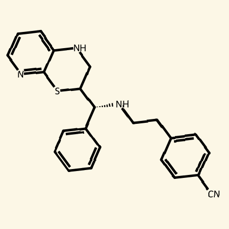 N#Cc1ccc(CCN[C@H](c2ccccc2)C2CNc3cccnc3S2)cc1